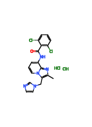 Cc1nc2c(NC(=O)c3c(Cl)cccc3Cl)cccn2c1Cn1ccnc1.Cl.Cl